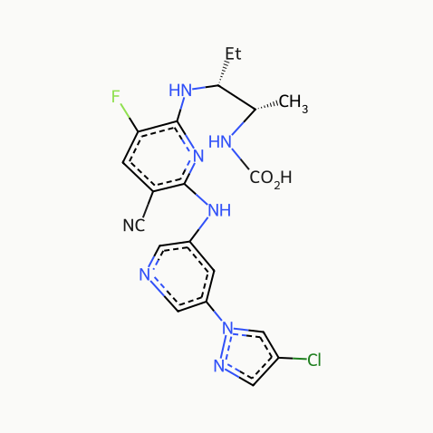 CC[C@@H](Nc1nc(Nc2cncc(-n3cc(Cl)cn3)c2)c(C#N)cc1F)[C@H](C)NC(=O)O